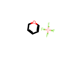 C1=CCOC=C1.F[B-](F)(F)F